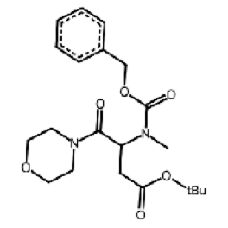 CN(C(=O)OCc1ccccc1)C(CC(=O)OC(C)(C)C)C(=O)N1CCOCC1